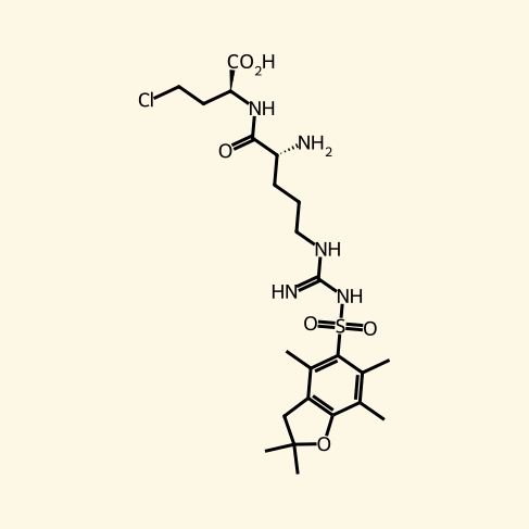 Cc1c(C)c(S(=O)(=O)NC(=N)NCCC[C@@H](N)C(=O)N[C@@H](CCCl)C(=O)O)c(C)c2c1OC(C)(C)C2